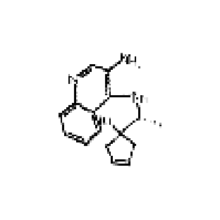 C[C@@H](Nc1c(N)cnc2ccccc12)C1(O)CC=CC1